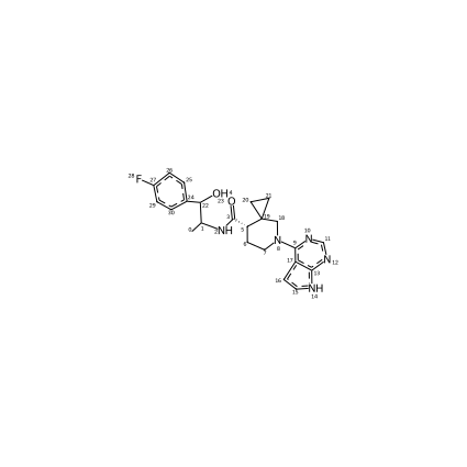 CC(NC(=O)[C@H]1CCN(c2ncnc3[nH]ccc23)CC12CC2)C(O)c1ccc(F)cc1